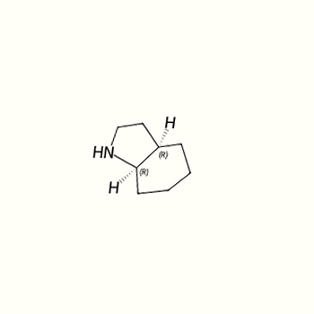 C1CC[C@H]2NCC[C@H]2C1